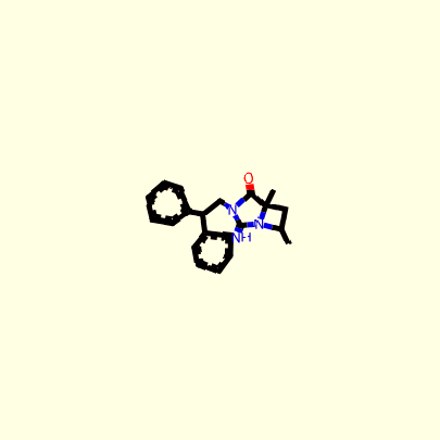 CC1CC2(C)C(=O)N(CC(c3ccccc3)c3ccccc3)C(=N)N12